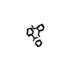 CC(C)c1ccccc1.CCc1ccccc1CC.c1ccccc1